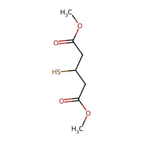 COC(=O)CC(S)CC(=O)OC